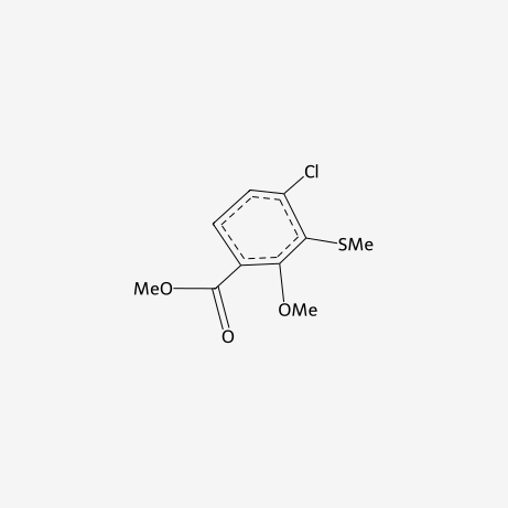 COC(=O)c1ccc(Cl)c(SC)c1OC